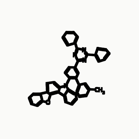 Cc1cccc(-c2cc(-c3nc(-c4ccccc4)nc(-c4ccccc4)n3)ccc2-n2c3ccccc3c3c4oc5ccccc5c4ccc32)c1